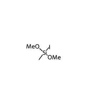 CO[Si](C)(I)OC